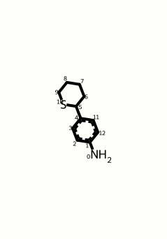 Nc1ccc(C2CCCCS2)cc1